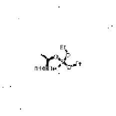 CCCCCCCCCC[Si](OCC)(OCC)OC(C)CCCCCC